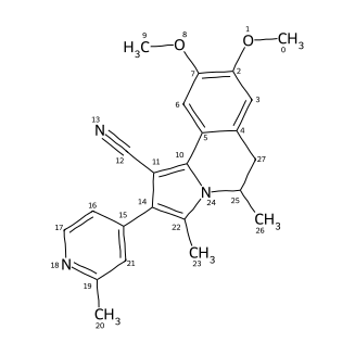 COc1cc2c(cc1OC)-c1c(C#N)c(-c3ccnc(C)c3)c(C)n1C(C)C2